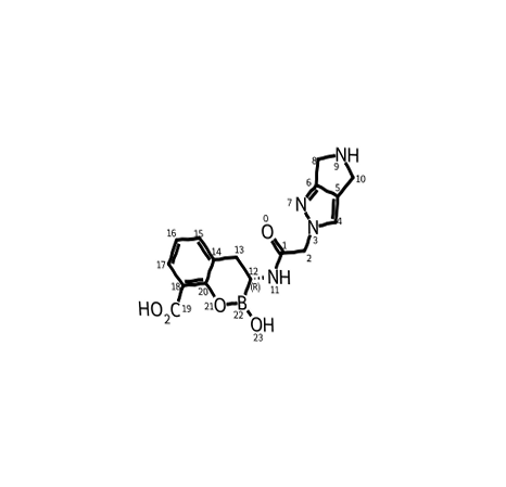 O=C(Cn1cc2c(n1)CNC2)N[C@H]1Cc2cccc(C(=O)O)c2OB1O